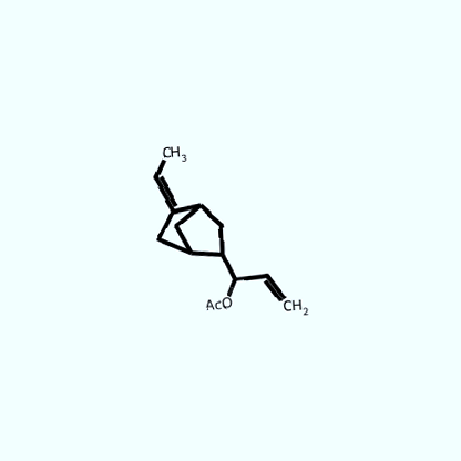 C=CC(OC(C)=O)C1CC2CC1CC2=CC